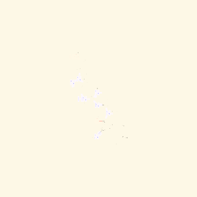 CC[C@@H]1CN(c2ccnc(Nc3cnn(C(C)(C)CO)c3)n2)C(=O)[C@@]1(C#N)C1CC1